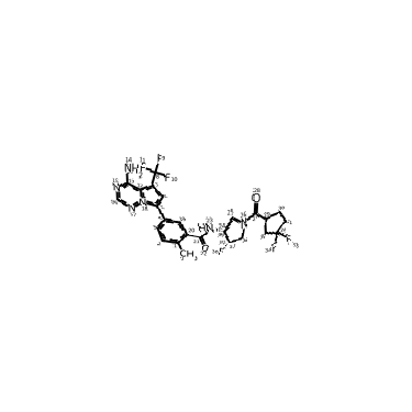 Cc1ccc(-c2cc(C(F)(F)F)c3c(N)ncnn23)cc1C(=O)N[C@@H]1CN(C(=O)C2CCC(F)(F)C2)C[C@@H]1F